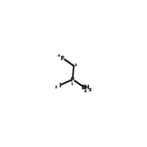 BP(I)CF